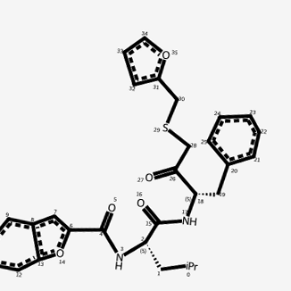 CC(C)C[C@H](NC(=O)c1cc2ccccc2o1)C(=O)N[C@@H](Cc1ccccc1)C(=O)CSCc1ccco1